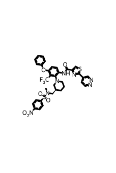 CN(C[C@@H]1CCCN(c2c(NC(=O)c3csc(-c4ccnnc4)n3)ccc(Oc3ccccc3)c2C(F)(F)F)C1)S(=O)(=O)c1ccc([N+](=O)[O-])cc1